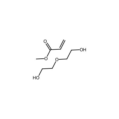 C=CC(=O)OC.OCCOCCO